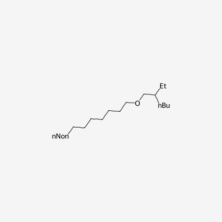 CCCCCCCCCCCCCCCCOCC(CC)CCCC